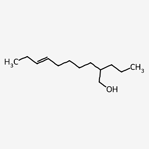 CCC=CCCCCC(CO)CCC